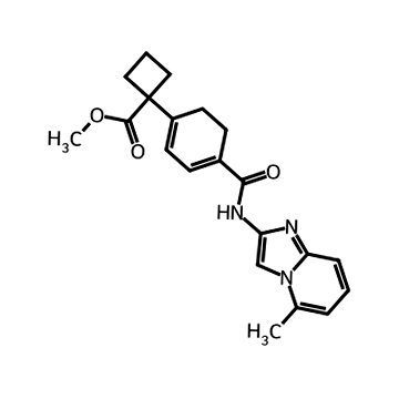 COC(=O)C1(C2=CC=C(C(=O)Nc3cn4c(C)cccc4n3)CC2)CCC1